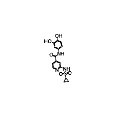 O=C(Nc1ccc(O)c(O)c1)c1ccnc(NS(=O)(=O)C2CC2)c1